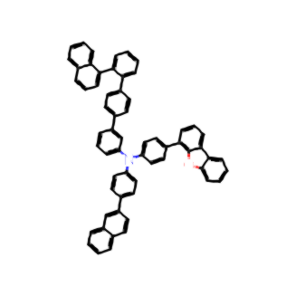 c1cc(-c2ccc(-c3ccccc3-c3cccc4ccccc34)cc2)cc(N(c2ccc(-c3ccc4ccccc4c3)cc2)c2ccc(-c3cccc4c3oc3ccccc34)cc2)c1